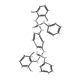 Cc1cccc(C)c1OP(=O)(Oc1ccccc1)Oc1cccc(OP(=O)(Oc2ccccc2)Oc2c(C)cccc2C)c1